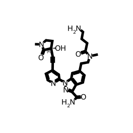 CN(CCc1ccc2c(C(N)=O)nn(-c3cc(C#C[C@]4(O)CCN(C)C4=O)ccn3)c2c1)C(=O)CCCN